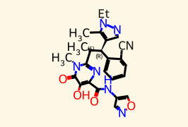 CCn1ncc([C@@H](c2ccccc2C#N)[C@H](C)c2nc(C(=O)Nc3cnoc3)c(O)c(=O)n2C)c1C